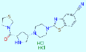 Cl.Cl.N#Cc1ccc2sc(N3CCN([C@@H]4CN[C@H](C(=O)N5CCSC5)C4)CC3)nc2c1